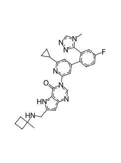 Cn1cnnc1-c1cc(F)ccc1-c1cc(C2CC2)nc(-n2cnc3cc(CNC4(C)CCC4)[nH]c3c2=O)c1